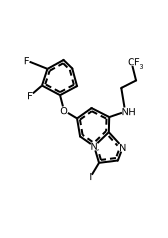 Fc1cccc(Oc2cc(NCCC(F)(F)F)c3ncc(I)n3c2)c1F